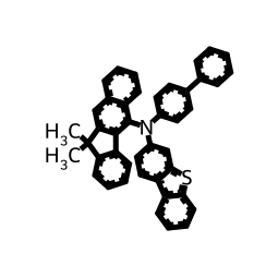 CC1(C)c2ccccc2-c2c1cc1ccccc1c2N(c1ccc(-c2ccccc2)cc1)c1ccc2c(c1)sc1ccccc12